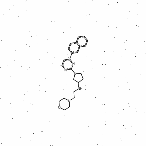 c1ccc2cc(-c3ccnc(N4CC[C@@H](NCCN5CCOCC5)C4)n3)ccc2c1